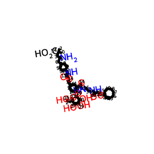 CC(C)(CC(N)Cc1ccc(NC(=O)OCc2ccc(O[C@@H]3O[C@H](CO)[C@@H](O)[C@H](O)[C@H]3O)c(C(=O)NCCNC(=O)COC3C#CCCCCC3)c2)cc1)C(=O)O